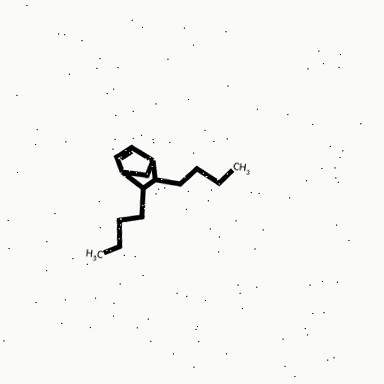 CCCCC1C2C=CC(C2)C1CCCC